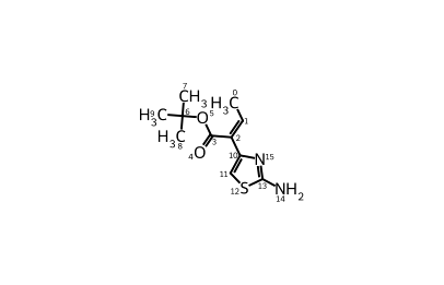 CC=C(C(=O)OC(C)(C)C)c1csc(N)n1